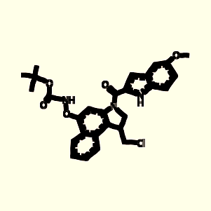 COc1ccc2[nH]c(C(=O)N3CC(CCl)c4c3cc(ONC(=O)OC(C)(C)C)c3ccccc43)cc2c1